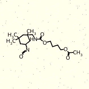 CC(=O)OCCCCOC(=O)NCC1(C)CC(N=C=O)CC(C)(C)C1